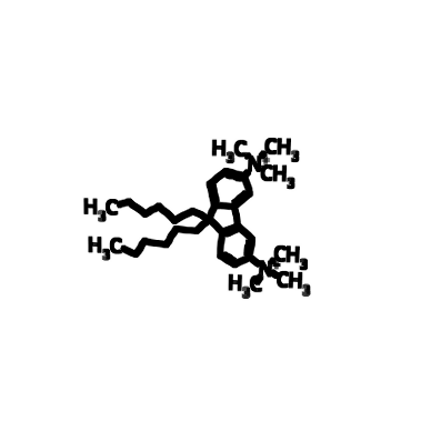 CCCCCCC1(CCCCCC)c2ccc([N+](C)(C)C)cc2-c2cc([N+](C)(C)C)ccc21